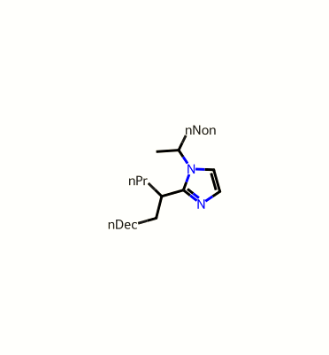 CCCCCCCCCCCC(CCC)c1nccn1C(C)CCCCCCCCC